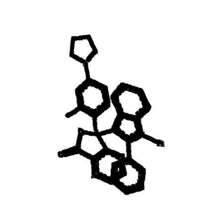 CCn1c(-c2ccccc2)c(C2(c3ccc(N4CCCC4)cc3C)OC(=O)c3nccnc32)c2ccccc21